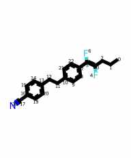 CCCC(F)=C(F)c1ccc(CCc2ccc(C#N)cc2)cc1